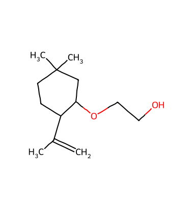 C=C(C)C1CCC(C)(C)CC1OCCO